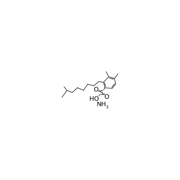 Cc1ccc(S(=O)(=O)O)c(CCCCCCC(C)C)c1C.N